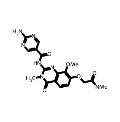 CNC(=O)COc1ccc2c(=O)n(C)c(NC(=O)c3cnc(N)nc3)nc2c1OC